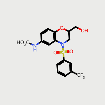 O=C(O)Nc1ccc2c(c1)N(S(=O)(=O)c1cccc(C(F)(F)F)c1)CC(CO)O2